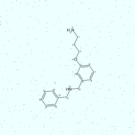 NCCCOc1cccc(CNCc2ccccc2)c1